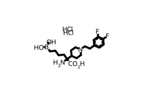 Cl.Cl.NC(CCCCB(O)O)(C(=O)O)C1CCN(CCc2ccc(F)c(F)c2)CC1